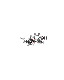 C=CCN1CC[C@@]23CC(=O)CC[C@]2(O)C1Cc1ccc(O)c(O)c13